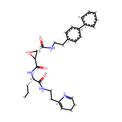 CCC[C@H](NC(=O)C1O[C@@H]1C(=O)NCCc1ccc(-c2ccccc2)cc1)C(=O)NCCC1=CCCC=N1